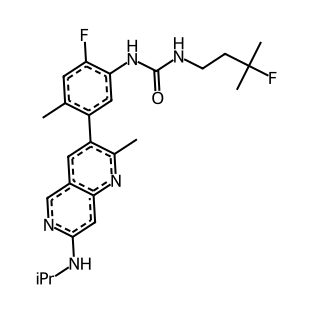 Cc1cc(F)c(NC(=O)NCCC(C)(C)F)cc1-c1cc2cnc(NC(C)C)cc2nc1C